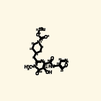 Cn1c(CC2CCN(C(=O)OC(C)(C)C)CC2)nc(C(=O)Nc2cnoc2)c(O)c1=O